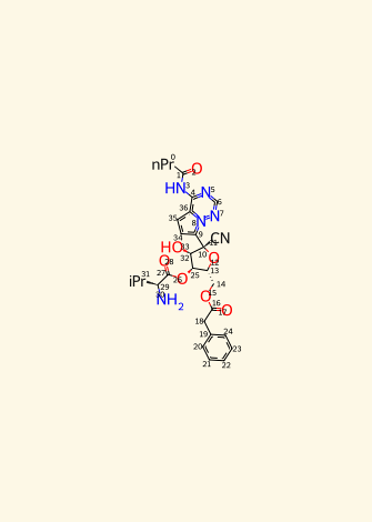 CCCC(=O)Nc1ncnn2c([C@]3(C#N)O[C@H](COC(=O)Cc4ccccc4)[C@@H](OC(=O)[C@@H](N)C(C)C)[C@H]3O)ccc12